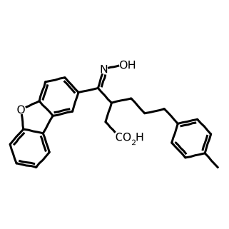 Cc1ccc(CCCC(CC(=O)O)C(=NO)c2ccc3oc4ccccc4c3c2)cc1